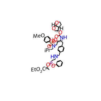 CCOC(=O)[C@@H](C)OP(CCNCc1ccc(C[C@H](NC(=O)O[C@H]2CO[C@H]3OCC[C@H]32)[C@H](O)CN(CC(C)C)S(=O)(=O)c2ccc(OC)cc2)cc1)Oc1ccccc1